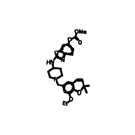 CCOc1cc(CN2CCC(Nc3nc4ccc(OC(=O)OC)cc4o3)CC2)cc2c1OC(C)(C)C=C2